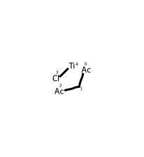 CC(=O)CC(C)=O.[Cl][Ti]